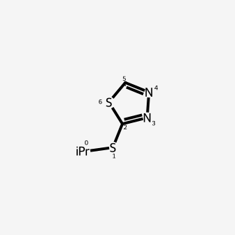 CC(C)Sc1nn[c]s1